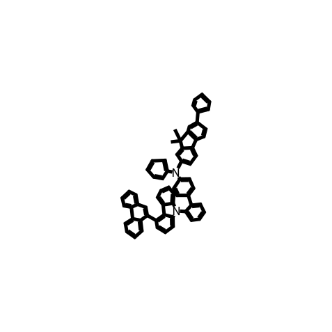 CC1(C)c2cc(-c3ccccc3)ccc2-c2ccc(N(c3ccccc3)c3ccc(-c4ccccc4-n4c5ccccc5c5c(-c6cc7ccccc7c7ccccc67)cccc54)cc3)cc21